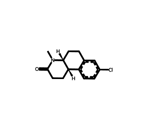 CN1C(=O)CC[C@H]2c3ccc(Cl)cc3CC[C@H]21